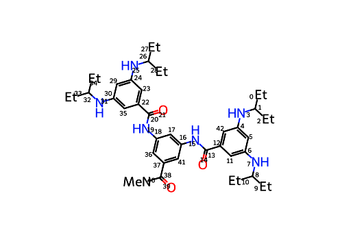 CCC(CC)Nc1cc(NC(CC)CC)cc(C(=O)Nc2cc(NC(=O)c3cc(NC(CC)CC)cc(NC(CC)CC)c3)cc(C(=O)NC)c2)c1